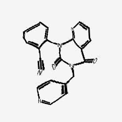 N#Cc1ccccc1-n1c(=O)n(Cc2ccncc2)c(=O)c2cccnc21